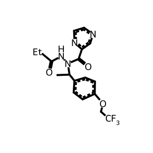 CCC(=O)NN(C(=O)c1cnccn1)C(C)c1ccc(OCC(F)(F)F)cc1